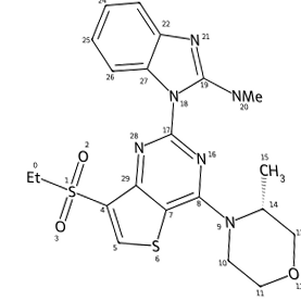 CCS(=O)(=O)c1csc2c(N3CCOC[C@H]3C)nc(-n3c(NC)nc4ccccc43)nc12